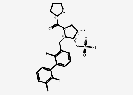 CCS(=O)(=O)N[C@H]1[C@@H](F)CN(C(=O)[C@H]2CCCO2)[C@H]1Cc1cccc(-c2cccc(C)c2F)c1F